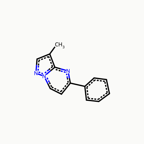 Cc1cnn2ccc(-c3ccccc3)nc12